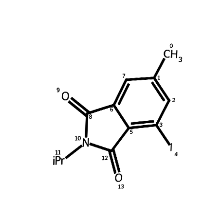 Cc1cc(I)c2c(c1)C(=O)N(C(C)C)C2=O